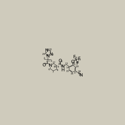 CC(C)(C(=O)N1CCC[C@@H](C(=O)NCc2ccc(C#N)cc2OC(F)(F)F)C1)n1cncn1